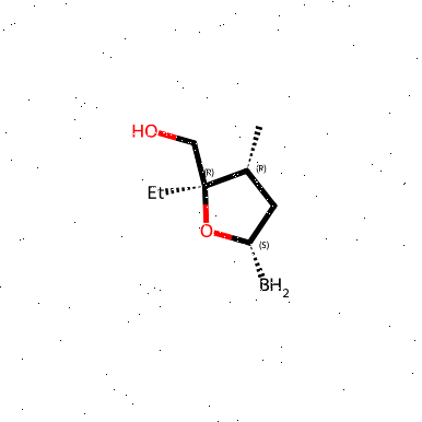 B[C@H]1C[C@@H](C)[C@](CC)(CO)O1